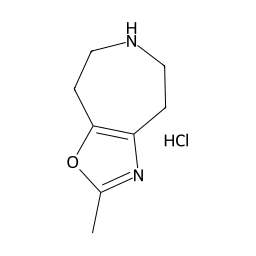 Cc1nc2c(o1)CCNCC2.Cl